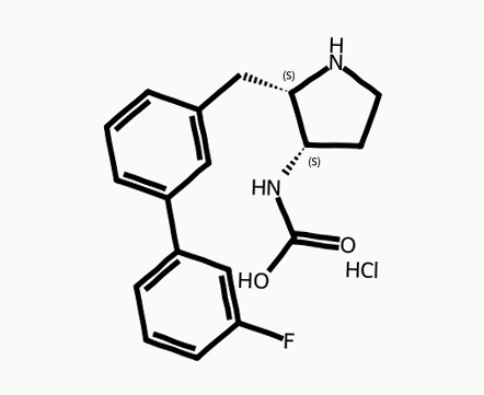 Cl.O=C(O)N[C@H]1CCN[C@H]1Cc1cccc(-c2cccc(F)c2)c1